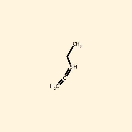 C=C=[SiH]CC